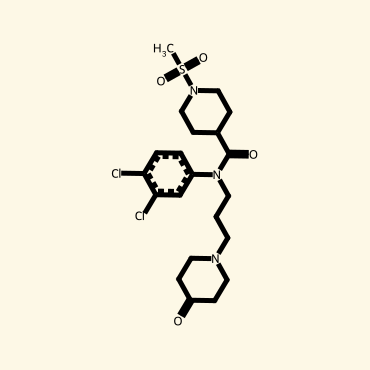 CS(=O)(=O)N1CCC(C(=O)N(CCCN2CCC(=O)CC2)c2ccc(Cl)c(Cl)c2)CC1